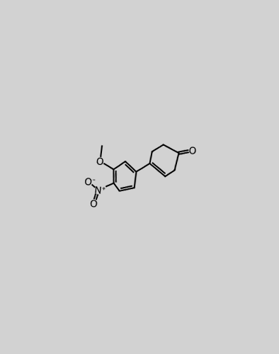 COc1cc(C2=CCC(=O)CC2)ccc1[N+](=O)[O-]